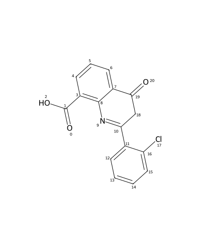 O=C(O)c1cccc2c1N=C(c1ccccc1Cl)CC2=O